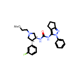 COCCN1C[C@@H](NC(=O)Nc2c3c(nn2-c2ccccc2)CCC3)[C@H](c2cccc(F)c2)C1